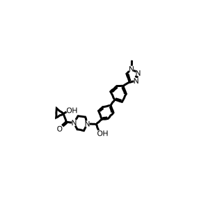 Cn1cc(-c2ccc(-c3ccc(C(O)N4CCN(C(=O)C5(O)CC5)CC4)cc3)cc2)nn1